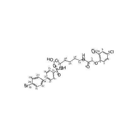 O=C(COc1ccc(Cl)cc1Cl)NCCCCC(NS(=O)(=O)c1ccc(-c2ccc(Br)cc2)cc1)C(=O)O